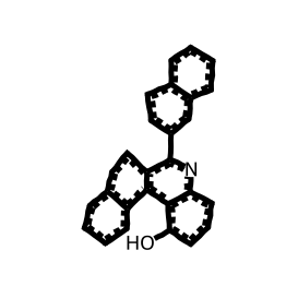 Oc1cccc2nc(-c3ccc4ccccc4c3)c3ccc4ccccc4c3c12